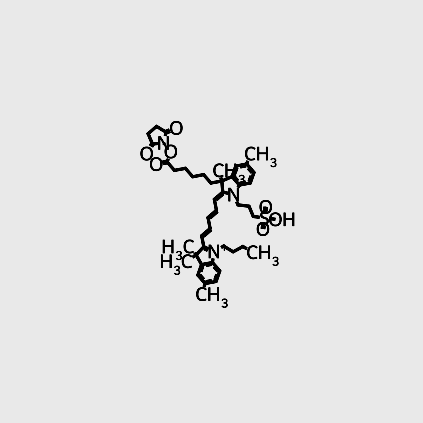 CCCC[N+]1=C(/C=C/C=C/C=C2\N(CCCS(=O)(=O)O)c3ccc(C)cc3C2(C)CCCCCC(=O)ON2C(=O)CCC2=O)C(C)(C)c2cc(C)ccc21